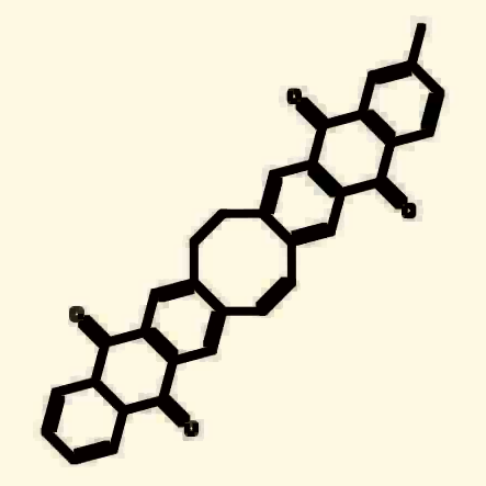 Cc1ccc2c(c1)C(=O)c1cc3c(cc1C2=O)/C=C\c1cc2c(cc1CC3)C(=O)C1C=CC=CC1C2=O